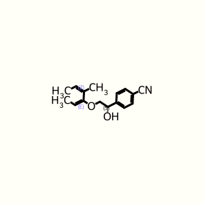 C/C=C(C)\C(=C/C)OC[C@@H](O)c1ccc(C#N)cc1